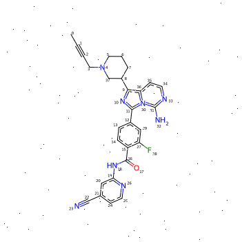 CC#CCN1CCCC(c2nc(-c3ccc(C(=O)Nc4cc(C#N)ccn4)c(F)c3)n3c(N)nccc23)C1